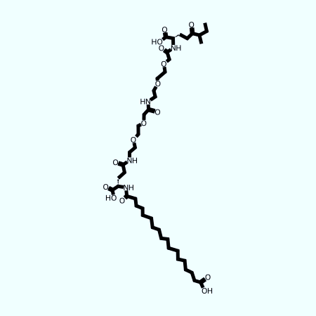 CCC(C)C(=O)CC[C@H](NC(=O)COCCOCCNC(=O)COCCOCCNC(=O)CC[C@H](NC(=O)CCCCCCCCCCCCCCCCC(=O)O)C(=O)O)C(=O)O